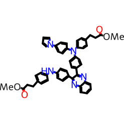 COC(=O)CCc1ccc(Nc2ccc(-c3nc4ccccc4nc3-c3ccc(N(c4ccc(CCC(=O)OC)cc4)c4ccc(-n5cccc5)cc4)cc3)cc2)cc1